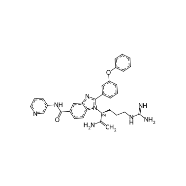 C=C(N)[C@H](CCCNC(=N)N)n1c(-c2cccc(Oc3ccccc3)c2)nc2cc(C(=O)Nc3cccnc3)ccc21